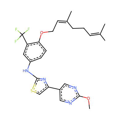 COc1ncc(-c2csc(Nc3ccc(OCC=C(C)CCC=C(C)C)c(C(F)(F)F)c3)n2)cn1